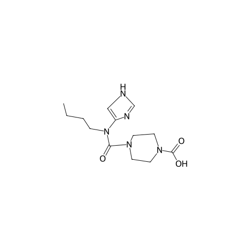 CCCCN(C(=O)N1CCN(C(=O)O)CC1)c1c[nH]cn1